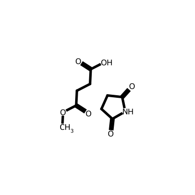 COC(=O)CCC(=O)O.O=C1CCC(=O)N1